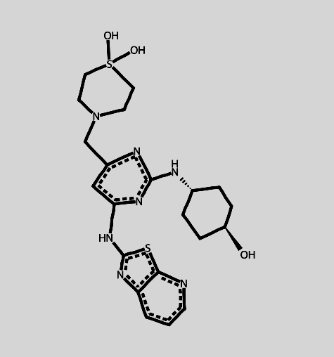 OS1(O)CCN(Cc2cc(Nc3nc4cccnc4s3)nc(N[C@H]3CC[C@H](O)CC3)n2)CC1